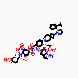 CC(C)c1ccccc1[C@@H]1CCCN1C1CC2(CCN(c3ccc(C(=O)NS(=O)(=O)c4cc5c(c([N+](=O)[O-])c4)N[C@@H]([C@H]4CC[C@](C)(O)CC4)CO5)c(Oc4cc5cc[nH]c5nc4OC[C@H](C)O)c3)CC2)C1